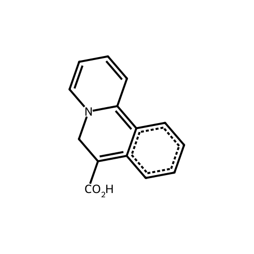 O=C(O)C1=c2ccccc2=C2C=CC=CN2C1